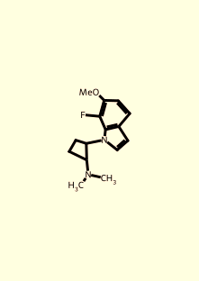 COc1ccc2ccn(C3CCC3N(C)C)c2c1F